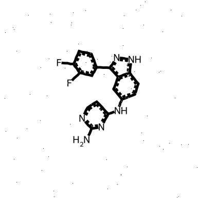 Nc1nccc(Nc2ccc3[nH]nc(-c4ccc(F)c(F)c4)c3c2)n1